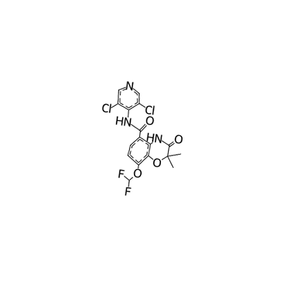 CC1(C)Oc2c(OC(F)F)ccc(C(=O)Nc3c(Cl)cncc3Cl)c2NC1=O